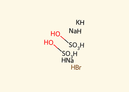 Br.O=S(=O)(O)O.O=S(=O)(O)O.[KH].[NaH].[NaH]